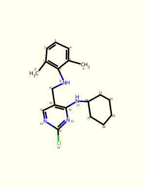 Cc1cccc(C)c1NCc1cnc(Cl)nc1NC1CCCCC1